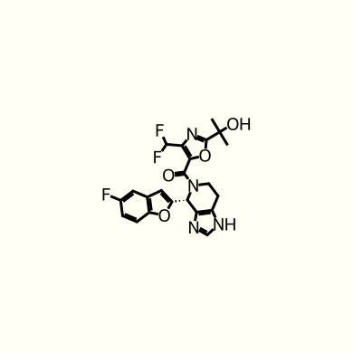 CC(C)(O)c1nc(C(F)F)c(C(=O)N2CCc3[nH]cnc3[C@@H]2c2cc3cc(F)ccc3o2)o1